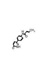 CC=CC(=O)Nc1ccc(-c2ccc(=O)[nH]n2)cc1